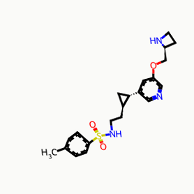 Cc1ccc(S(=O)(=O)NCC[C@H]2C[C@@H]2c2cncc(OC[C@@H]3CCN3)c2)cc1